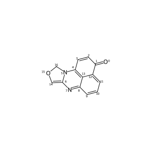 O=c1ccc2n3c(nc4cccc1c4=2)=COC3